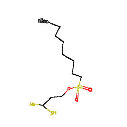 CCCCCCCCCCCCCCCCCS(=O)(=O)OCCC(S)S